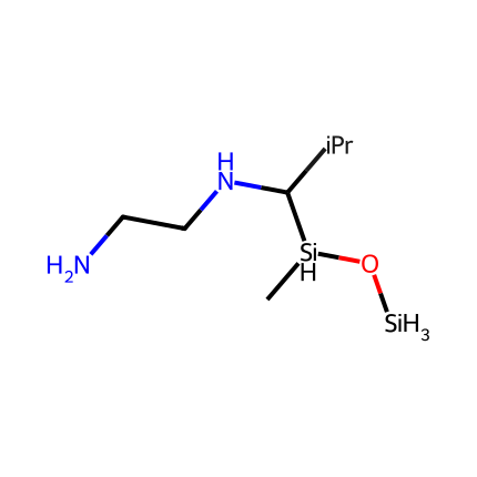 CC(C)C(NCCN)[SiH](C)O[SiH3]